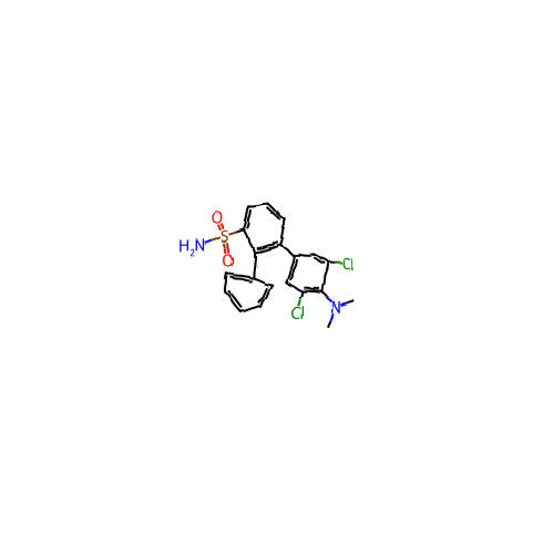 CN(C)c1c(Cl)cc(-c2cccc(S(N)(=O)=O)c2-c2ccccc2)cc1Cl